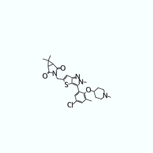 Cc1cc(Cl)cc(-c2c3sc(CN4C(=O)C5C(C4=O)C5(C)C)cc3nn2C)c1OC1CCN(C)CC1